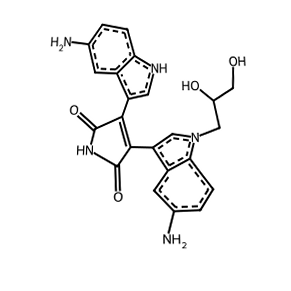 Nc1ccc2[nH]cc(C3=C(c4cn(CC(O)CO)c5ccc(N)cc45)C(=O)NC3=O)c2c1